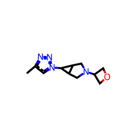 Cc1cn(C2C3CN(C4COC4)CC32)nn1